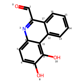 O=Cc1nc2ccc(O)c(O)c2c2ccccc12